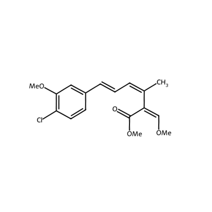 COC=C(C(=O)OC)C(C)=CC=Cc1ccc(Cl)c(OC)c1